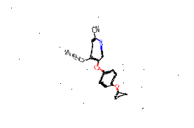 COc1cc(C#N)ncc1Oc1ccc(OC2CC2)cc1